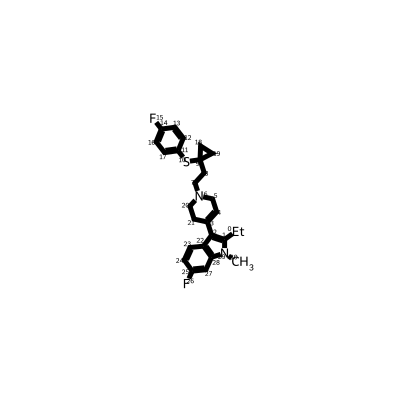 CCc1c(C2=CCN(CCC3(Sc4ccc(F)cc4)CC3)CC2)c2ccc(F)cc2n1C